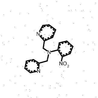 O=[N+]([O-])c1ccccc1N(Cc1ccccn1)Cc1ccccn1